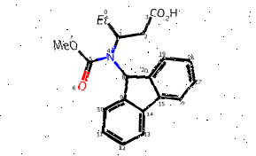 CCC(CC(=O)O)N(C(=O)OC)C1c2ccccc2-c2ccccc21